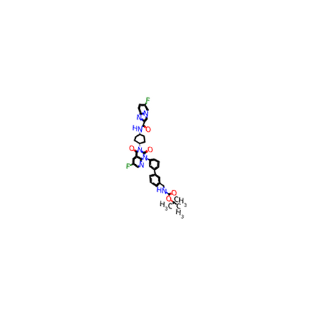 CC(C)(C)OC(=O)NCc1cccc(-c2cccc(-n3c(=O)n([C@H]4CC[C@@H](NC(=O)c5cn6cc(F)ccc6n5)CC4)c(=O)c4cc(F)cnc43)c2)c1